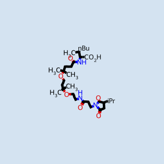 CCCCC(C)C(NC(=O)CCC(C)(C)OCCC(C)(C)OCCNC(=O)CCN1C(=O)CC(C(C)C)C1=O)C(=O)O